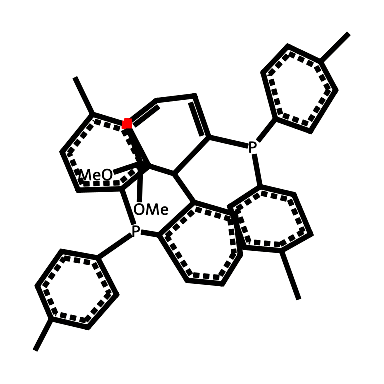 COC1(OC)C=CC=C(P(c2ccc(C)cc2)c2ccc(C)cc2)C1c1ccccc1P(c1ccc(C)cc1)c1ccc(C)cc1